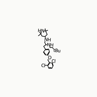 CC(C)(C)CCNC(CNC1CC(C)(C)NC(C)(C)C1)Cc1ccc(OCc2c(Cl)cccc2Cl)cc1